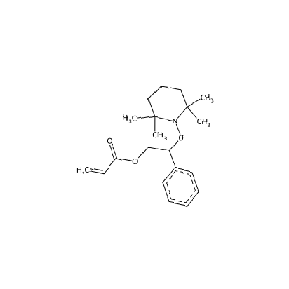 C=CC(=O)OCC(ON1C(C)(C)CCCC1(C)C)c1ccccc1